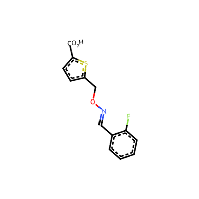 O=C(O)c1ccc(CO/N=C/c2ccccc2F)s1